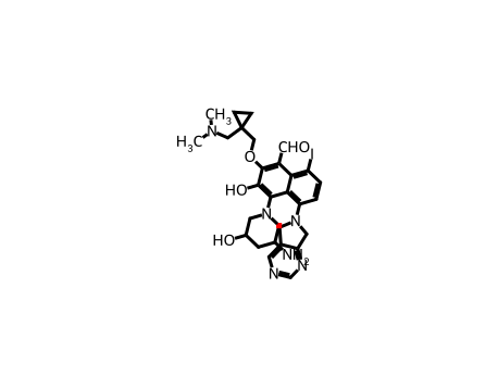 CN(C)CC1(COc2c(O)c(N3CC(N)CC(O)C3)c3c(N4Cc5cncnc5C4)ccc(I)c3c2C=O)CC1